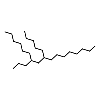 CCCCCCCCC([CH]C(CCC)CCCCCC)CCCCC